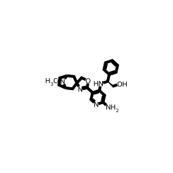 CN1C2CCC1CC1(COC(c3cnc(N)cc3N[C@H](CO)c3ccccc3)=N1)C2